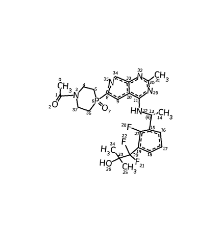 CC(=O)N1CCP(=O)(c2cc3c(N[C@H](C)c4cccc(C(F)(F)C(C)(C)O)c4F)nc(C)nc3cn2)CC1